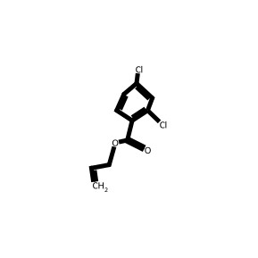 C=CCOC(=O)c1ccc(Cl)cc1Cl